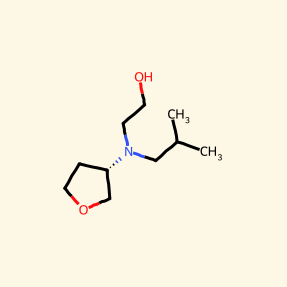 CC(C)CN(CCO)[C@H]1CCOC1